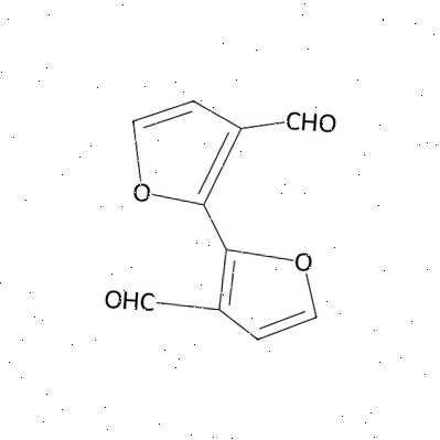 O=Cc1ccoc1-c1occc1C=O